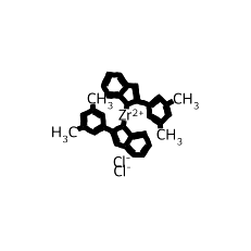 Cc1cc(C)cc(C2=Cc3ccccc3[CH]2[Zr+2][CH]2C(c3cc(C)cc(C)c3)=Cc3ccccc32)c1.[Cl-].[Cl-]